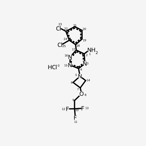 Cl.Nc1nc(N2CC(OCC(F)(F)F)C2)nnc1-c1cccc(Cl)c1Cl